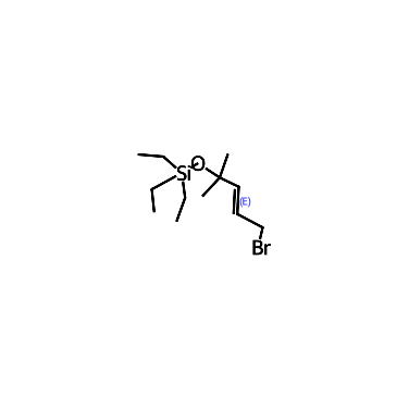 CC[Si](CC)(CC)OC(C)(C)/C=C/CBr